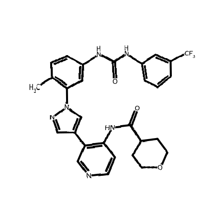 Cc1ccc(NC(=O)Nc2cccc(C(F)(F)F)c2)cc1-n1cc(-c2cnccc2NC(=O)C2CCOCC2)cn1